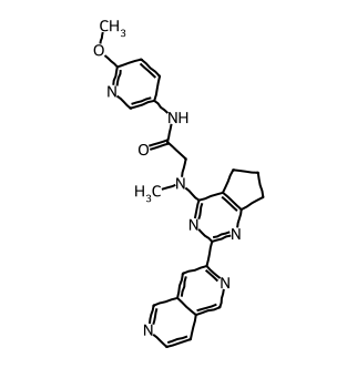 COc1ccc(NC(=O)CN(C)c2nc(-c3cc4cnccc4cn3)nc3c2CCC3)cn1